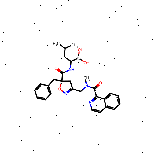 CC(C)CC(NC(=O)C1(Cc2ccccc2)CC(CN(C)C(=O)c2nccc3ccccc23)=NO1)B(O)O